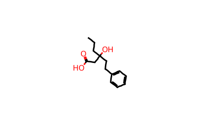 CCCC(O)(CCc1ccccc1)CC(=O)O